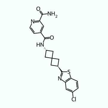 NC(=O)c1cc(C(=O)N[C@H]2CC3(C2)C[C@H](c2nc4cc(Cl)ccc4s2)C3)ccn1